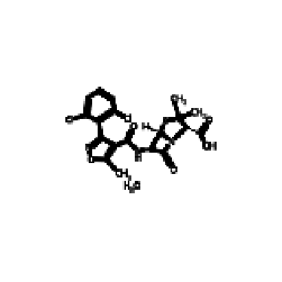 Cc1onc(-c2c(Cl)cccc2Cl)c1C(=O)N[C@@H]1C(=O)N2[C@@H]1SC(C)(C)[C@@H]2C(=O)O.O